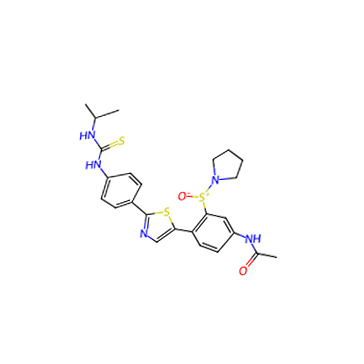 CC(=O)Nc1ccc(-c2cnc(-c3ccc(NC(=S)NC(C)C)cc3)s2)c([S+]([O-])N2CCCC2)c1